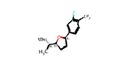 C[C@@H]([C@@H]1CC[C@H](c2ccc(C(F)(F)F)c(F)c2)O1)C(C)(C)C